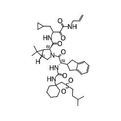 C=CCNC(=O)C(=O)C(CC1CC1)NC(=O)[C@@H]1C2[C@H](CN1C(=O)[C@@H](NC(=O)NC1(CS(=O)(=O)CCC(C)C)CCCCC1)C1Cc3ccccc3C1)C2(C)C